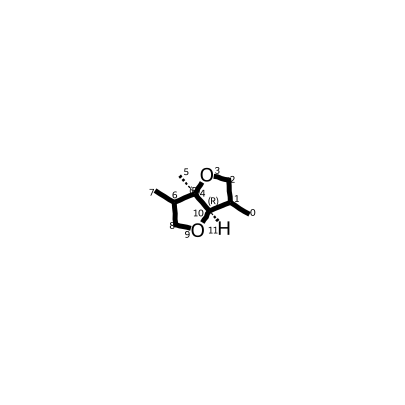 CC1CO[C@]2(C)C(C)CO[C@H]12